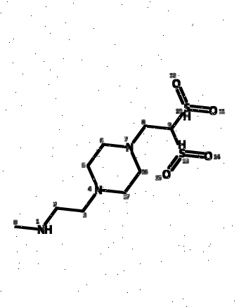 CNCCN1CCN(CC([SH](=O)=O)[SH](=O)=O)CC1